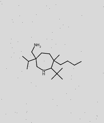 CCCCC1(C)CCC(CN)(C(C)C)CNC1C(C)(C)C